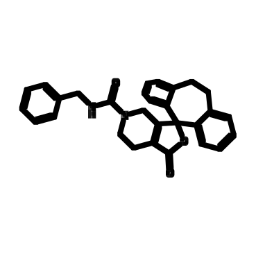 O=C1OC2(C3=C1CCN(C(=O)NCc1ccccc1)C3)c1ccccc1CCc1ccccc12